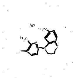 Cc1nc(N2CCSc3ccc(N)cc32)ccc1F.Cl